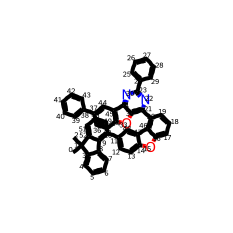 CC1(C)c2ccccc2-c2c(-c3ccc4oc5cccc(-c6nc(-c7ccccc7)nc7c6oc6ccc(-c8ccccc8)cc67)c5c4c3)cccc21